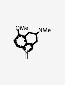 CNC1Cc2c[nH]c3ccc(OC)c(c23)C1